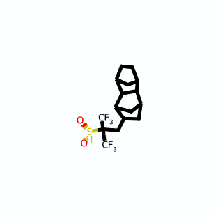 O=[SH](=O)C(CC1CC2CC1C1C3CCC(C3)C21)(C(F)(F)F)C(F)(F)F